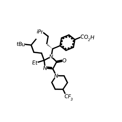 CCC1(CCC(C)C(C)(C)C)N=C(N2CCC(C(F)(F)F)CC2)C(=O)N1[C@H](CCC(C)C)c1ccc(C(=O)O)cc1